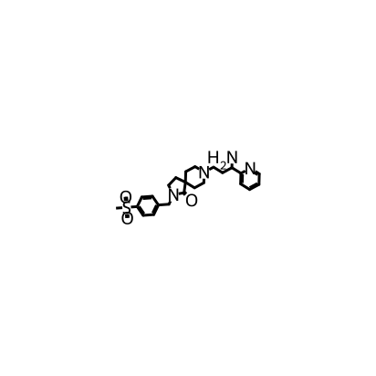 CS(=O)(=O)c1ccc(CN2CCC3(CCN(CCC(N)c4ccccn4)CC3)C2=O)cc1